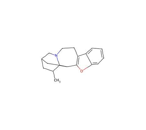 CC1CC2CC3c4oc5ccccc5c4CCN(C2)C13